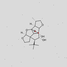 C[C@@H]1COC2[C@H]1C13COC4[C@H](O)[C@@H](C(C)(C)C)C5(CCO[C@H]5O1)C43[C@H]2O